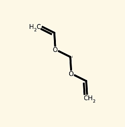 C=CO[C]OC=C